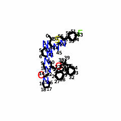 CCc1nc2ccc(N3CCN(CC(=O)N4CCCC4)C(CO[Si](c4ccccc4)(c4ccccc4)C(C)(C)C)C3)nn2c1N(C)c1nc(-c2ccc(F)cc2)cs1